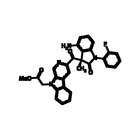 COC(=O)Cn1c2ccccc2c2cc(C(=O)[C@@]3(C)C(=O)N(c4ccccc4F)c4cccc(N)c43)ncc21